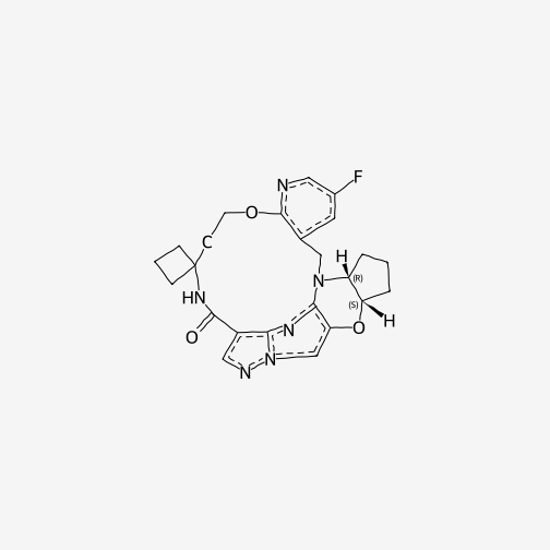 O=C1NC2(CCC2)CCOc2ncc(F)cc2CN2c3nc4c1cnn4cc3O[C@H]1CCC[C@H]12